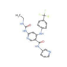 CCNC(=O)Nc1cc(Nc2ccc(C(F)(F)F)cc2)c(C(=O)Nc2cccnc2)cn1